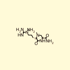 CN1C[C@@H](C(N)=O)NC(=O)[C@@H]1CCCN(N)C(=N)N